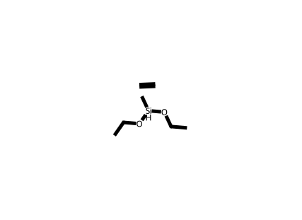 C=C.CCO[SiH](C)OCC